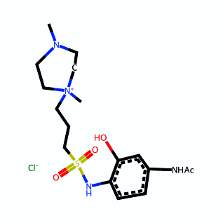 CC(=O)Nc1ccc(NS(=O)(=O)CCC[N+]2(C)CCN(C)CC2)c(O)c1.[Cl-]